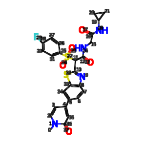 Cn1ccc(-c2ccc3nc(C(C(=O)NCC(=O)NC4CC4)S(=O)(=O)c4ccc(F)cc4)sc3c2)cc1=O